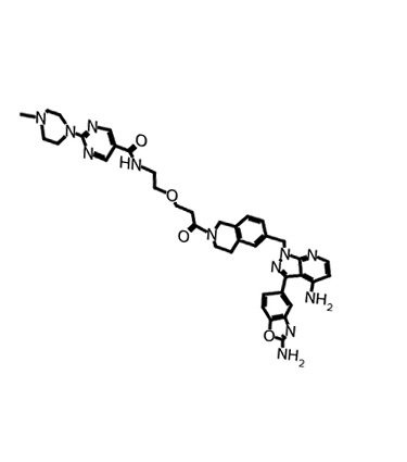 CN1CCN(c2ncc(C(=O)NCCOCCC(=O)N3CCc4cc(Cn5nc(-c6ccc7oc(N)nc7c6)c6c(N)ccnc65)ccc4C3)cn2)CC1